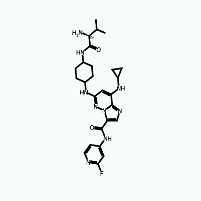 CC(C)[C@H](N)C(=O)NC1CCC(Nc2cc(NC3CC3)c3ncc(C(=O)Nc4ccnc(F)c4)n3n2)CC1